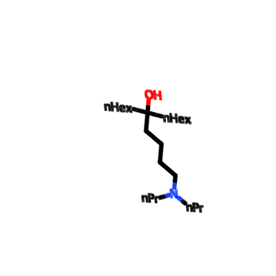 CCCCCCC(O)(CCCCCC)CCCCN(CCC)CCC